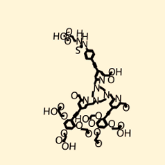 O=CCOc1cc(OCC(=O)O)c(C#Cc2cc(C=O)nc(CN3CCN(Cc4cc(C#Cc5c(OCC=O)cc(OCC(=O)O)cc5OCC(=O)O)cc(C=O)n4)CCN(Cc4cc(C#Cc5ccc(NC(=S)NCCS(=O)(=O)O)cc5)cc(C(=O)O)n4)CC3)c2)c(OCC(=O)O)c1